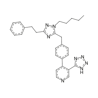 CCCCCn1nc(CCc2ccccc2)nc1Cc1ccc(-c2ccncc2-c2nnn[nH]2)cc1